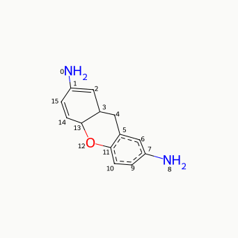 NC1=CC2Cc3cc(N)ccc3OC2C=C1